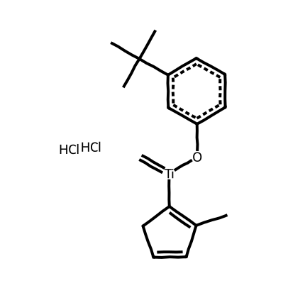 Cl.Cl.[CH2]=[Ti]([O]c1cccc(C(C)(C)C)c1)[C]1=C(C)C=CC1